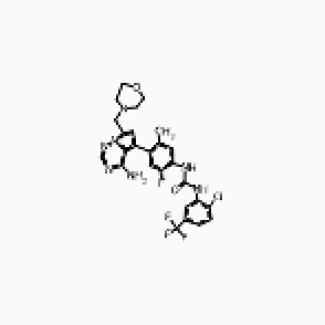 Cc1cc(NC(=O)Nc2cc(C(F)(F)F)ccc2Cl)c(F)cc1-c1cc(CN2CCOCC2)n2ncnc(N)c12